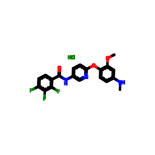 CNc1ccc(Oc2ccc(NC(=O)c3ccc(F)c(F)c3F)cn2)c(OC)c1.Cl